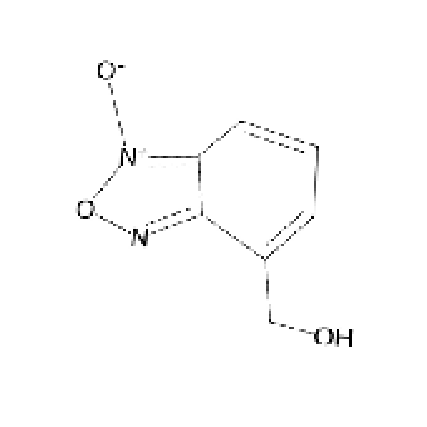 [O-][n+]1onc2c(CO)cccc21